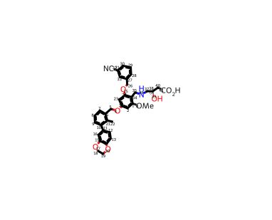 COc1cc(OCc2cccc(-c3ccc4c(c3)OCCO4)c2C)cc(OCc2cccc(C#N)c2)c1CNC[C@@H](O)CC(=O)O